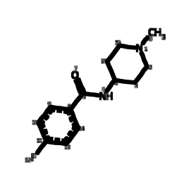 CN1CCC(NC(=O)c2ccc(F)cc2)CC1